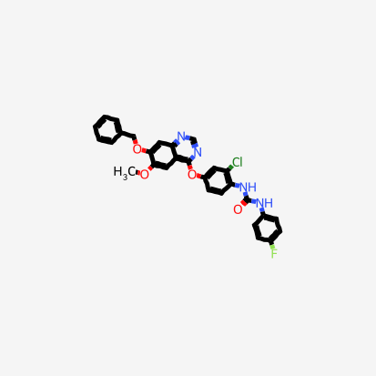 COc1cc2c(Oc3ccc(NC(=O)Nc4ccc(F)cc4)c(Cl)c3)ncnc2cc1OCc1ccccc1